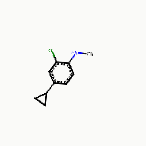 N#CNc1ccc(C2CC2)cc1Cl